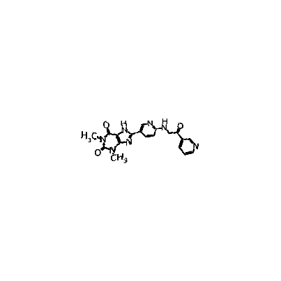 Cn1c(=O)c2[nH]c(-c3ccc(NCC(=O)c4cccnc4)nc3)nc2n(C)c1=O